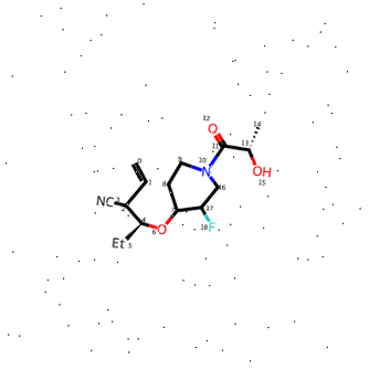 C=CC(C#N)[C@H](CC)OC1CCN(C(=O)[C@H](C)O)CC1F